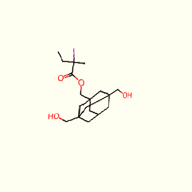 CCC(C)(I)C(=O)OCC12CC3CC(CO)(CC(CO)(C3)C1)C2